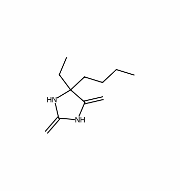 C=C1NC(=C)C(CC)(CCCC)N1